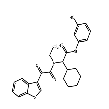 O=C(O)CN(C(=O)C(=O)c1csc2ccccc12)C(C(=O)Nc1cccc(O)c1)C1CCCCC1